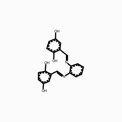 Oc1ccc(O)c(/C=N/c2ccccc2/N=C/c2cc(O)ccc2O)c1